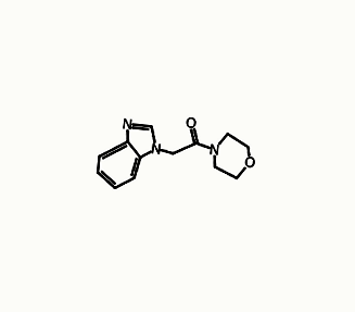 O=C(Cn1cnc2ccccc21)N1CCOCC1